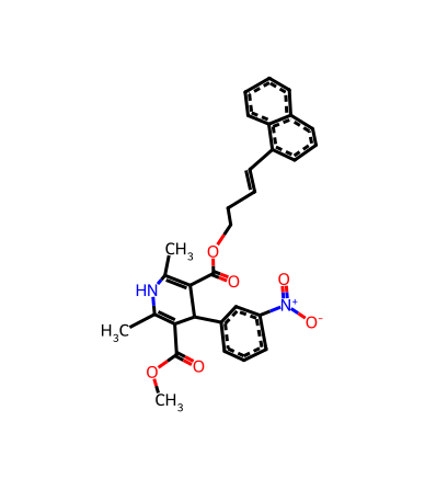 COC(=O)C1=C(C)NC(C)=C(C(=O)OCCC=Cc2cccc3ccccc23)C1c1cccc([N+](=O)[O-])c1